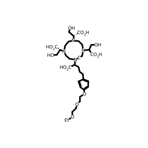 CCOCCOCCOc1ccc(CCCC(C(=O)O)N2CCN(C(CO)C(=O)O)CCN([C@H](CO)C(=O)O)CCN([C@H](CO)C(=O)O)CC2)cc1